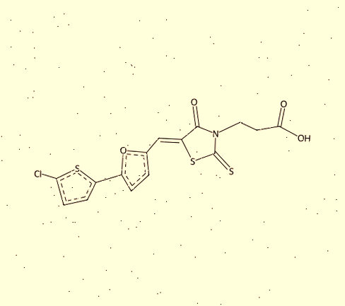 O=C(O)CCN1C(=O)C(=Cc2ccc(-c3ccc(Cl)s3)o2)SC1=S